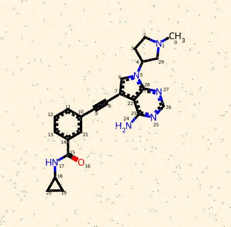 CN1CCC(n2cc(C#Cc3cccc(C(=O)NC4CC4)c3)c3c(N)ncnc32)C1